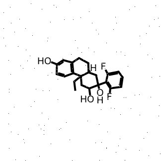 CCC12CC(O)C(O)(c3c(F)cccc3F)C[C@H]1CCc1cc(O)ccc12